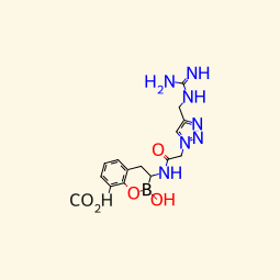 N=C(N)NCc1cn(CC(=O)NC2Cc3cccc(C(=O)O)c3OB2O)nn1